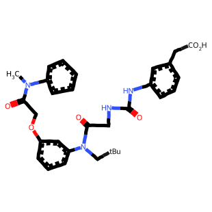 CN(C(=O)COc1cccc(N(CC(C)(C)C)C(=O)CNC(=O)Nc2cccc(CC(=O)O)c2)c1)c1ccccc1